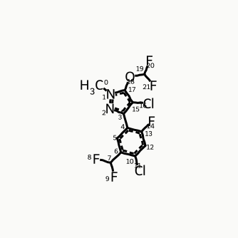 Cn1nc(-c2cc(C(F)F)c(Cl)cc2F)c(Cl)c1OC(F)F